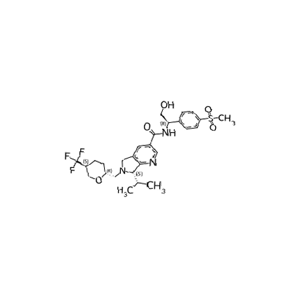 CC(C)[C@H]1c2ncc(C(=O)N[C@@H](CO)c3ccc(S(C)(=O)=O)cc3)cc2CN1C[C@H]1CC[C@H](C(F)(F)F)CO1